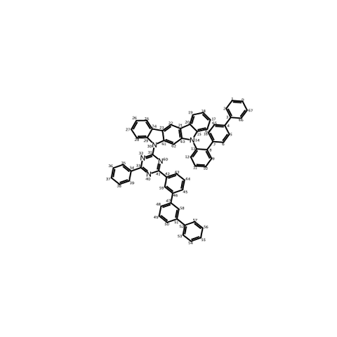 c1ccc(-c2ccc(-c3ccccc3-n3c4ccccc4c4cc5c6ccccc6n(-c6nc(-c7ccccc7)nc(-c7cccc(-c8cccc(-c9ccccc9)c8)c7)n6)c5cc43)cc2)cc1